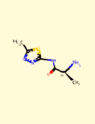 Cc1nnc(NC(=O)[C@H](C)N)s1